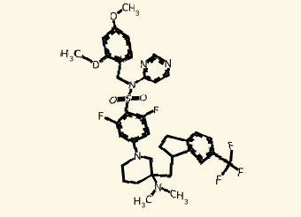 COc1ccc(CN(c2ccncn2)S(=O)(=O)c2c(F)cc(N3CCCC(CC4CCc5ccc(C(F)(F)F)cc54)(N(C)C)C3)cc2F)c(OC)c1